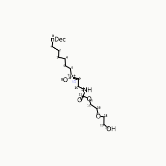 CCCCCCCCCCCCCCCC/[P+]([O-])=C/CNC(=O)OCCOCCO